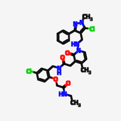 CCNC(=O)COc1ccc(Cl)cc1CNC(=O)Cc1c(C)ccn(NCc2c(-c3ccccc3)nn(C)c2Cl)c1=O